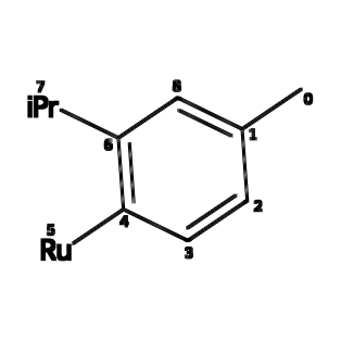 Cc1cc[c]([Ru])c(C(C)C)c1